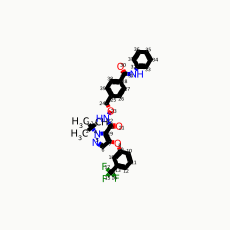 CC(C)(C)n1ncc(Oc2cccc(C(F)(F)F)c2)c1C(=O)NOCc1ccc(C(=O)Nc2ccccc2)cc1